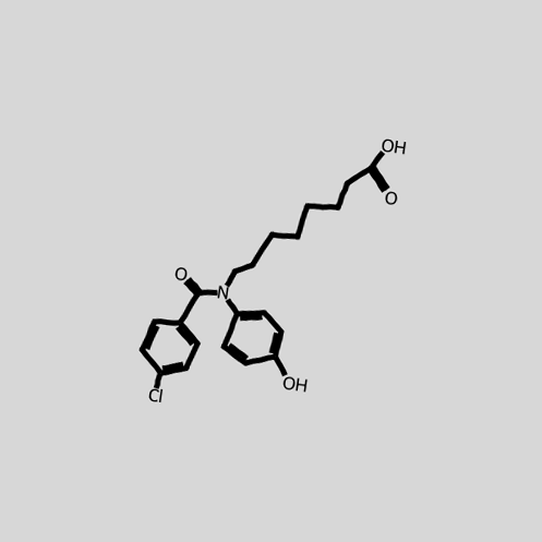 O=C(O)CCCCCCCN(C(=O)c1ccc(Cl)cc1)c1ccc(O)cc1